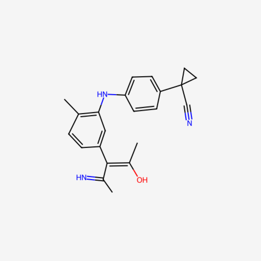 CC(=N)/C(=C(/C)O)c1ccc(C)c(Nc2ccc(C3(C#N)CC3)cc2)c1